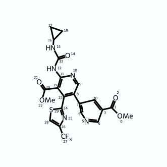 COC(=O)c1cncc(-c2cnc(NC(=O)NC3CC3)c(C(=O)OC)c2-c2nc(C(F)(F)F)cs2)c1